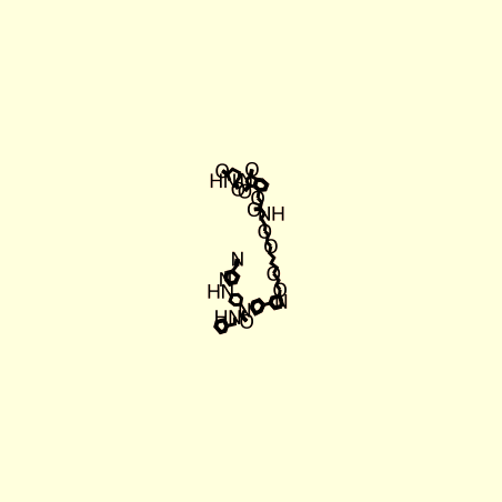 N#Cc1ccc(N[C@H]2CC[C@H](N(C(=O)NCc3ccccc3)c3ccc(-c4ccnc(OCCOCCCCOCCOCCNC(=O)COc5cccc6c5C(=O)N(C5CCC(=O)NC5=O)C6=O)c4)cc3)CC2)nc1